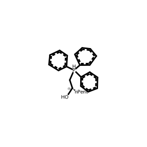 CCCCC[C@H](O)C[PH](c1ccccc1)(c1ccccc1)c1ccccc1